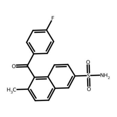 Cc1ccc2cc(S(N)(=O)=O)ccc2c1C(=O)c1ccc(F)cc1